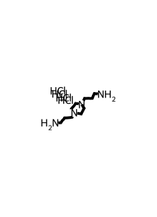 Cl.Cl.Cl.Cl.NCCCN1CCN(CCCN)CC1